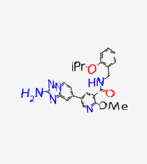 COc1ncc(-c2ccn3nc(N)nc3c2)cc1C(=O)NCc1ccccc1OC(C)C